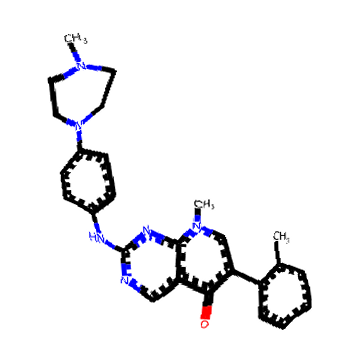 Cc1ccccc1-c1cn(C)c2nc(Nc3ccc(N4CCN(C)CC4)cc3)ncc2c1=O